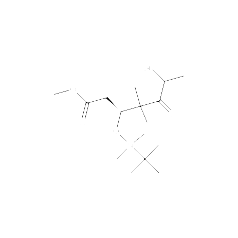 COC(=O)C[C@H](O[Si](C)(C)C(C)(C)C)C(C)(C)C(=O)C(C)Br